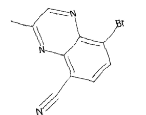 Cc1cnc2c(Br)ccc(C#N)c2n1